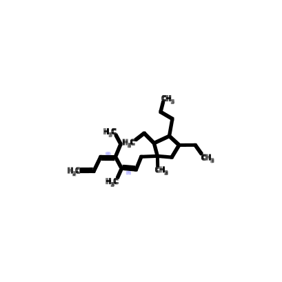 C=C/C=C(CC)\C(C)=C/CC1(C)CC(CC)C(CCC)C1CC